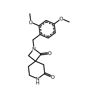 COc1ccc(CN2CC3(CCNC(=O)C3)C2=O)c(OC)c1